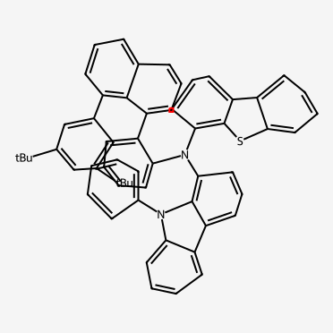 CC(C)(C)c1cc(-c2cccc3cccc(-c4ccccc4N(c4cccc5c4sc4ccccc45)c4cccc5c6ccccc6n(-c6ccccc6)c45)c23)cc(C(C)(C)C)c1